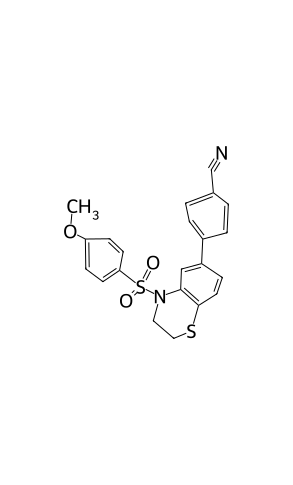 COc1ccc(S(=O)(=O)N2CCSc3ccc(-c4ccc(C#N)cc4)cc32)cc1